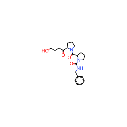 O=C(CCCO)C1CCCN1C(=O)C1CCCN1C(=O)NCc1ccccc1